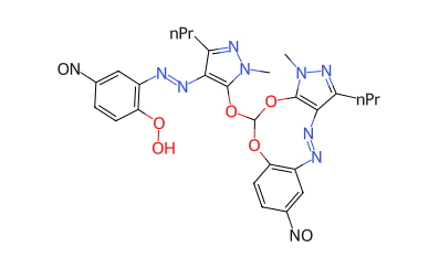 CCCc1nn(C)c(OC2Oc3ccc(N=O)cc3/N=N/c3c(CCC)nn(C)c3O2)c1/N=N/c1cc(N=O)ccc1OO